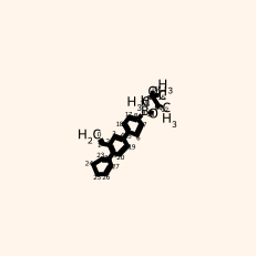 C=Cc1cc(-c2ccc(BO[C@H](C)C(C)(C)O)cc2)ccc1C1=CCCC=C1